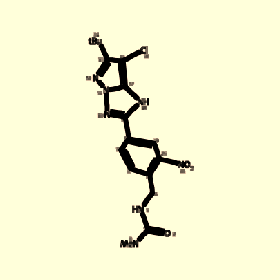 CNC(=O)NCc1ccc(-c2nn3nc(C(C)(C)C)c(Cl)c3[nH]2)cc1[N+](=O)[O-]